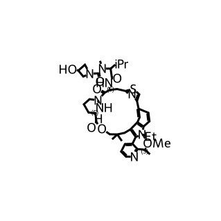 CCn1c(-c2cccnc2[C@H](C)OC)c2c3cc(ccc31)-c1csc(n1)C[C@H](NC(=O)C(C(C)C)N(C)C(=O)N1CC(O)C1)C(=O)N1CCC[C@H](N1)C(=O)OCC(C)(C)C2